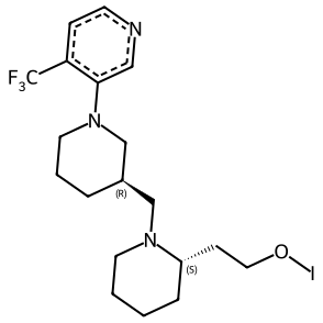 FC(F)(F)c1ccncc1N1CCC[C@H](CN2CCCC[C@H]2CCOI)C1